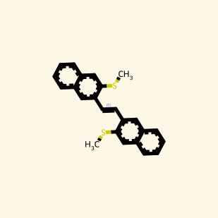 CSc1cc2ccccc2cc1/C=C/c1cc2ccccc2cc1SC